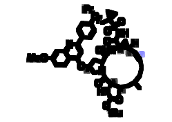 COc1ccc2c(O[C@@H]3CC4C(=O)N[C@]5(C(=O)NS(=O)(=O)C6(CF)CC6)C[C@H]5/C=C\CCC(C)C[C@@H](C)[C@H](NC(=O)OC(C)(C)C)C(=O)N4C3)cc(-c3ccc(OC(C)C)cc3)nc2c1